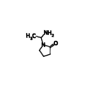 CC(N)N1CCCC1=O